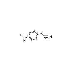 CBc1ccc(CC(=O)O)cc1